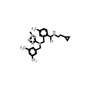 CCC(NCCC1CC1)c1ccc(C(F)(F)F)cc1CN(Cc1cc(C(F)(F)F)cc(C(F)(F)F)c1)c1nnn(C)n1